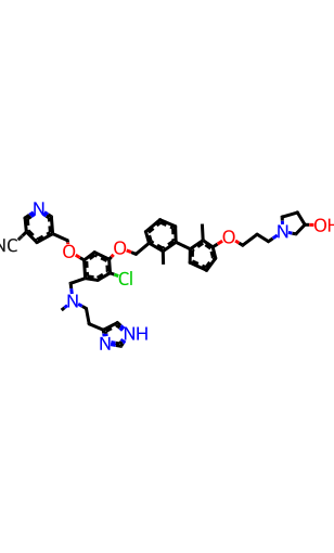 Cc1c(COc2cc(OCc3cncc(C#N)c3)c(CN(C)CCc3c[nH]cn3)cc2Cl)cccc1-c1cccc(OCCCN2CCC(O)C2)c1C